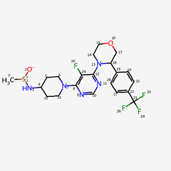 C[S+]([O-])NC1CCN(c2ncnc(N3CCOCC3c3ccc(C(F)(F)F)cc3)c2F)CC1